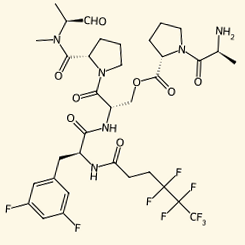 C[C@H](N)C(=O)N1CCC[C@H]1C(=O)OC[C@H](NC(=O)[C@H](Cc1cc(F)cc(F)c1)NC(=O)CCC(F)(F)C(F)(F)C(F)(F)F)C(=O)N1CCC[C@H]1C(=O)N(C)[C@@H](C)C=O